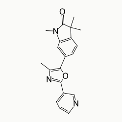 Cc1nc(-c2cccnc2)oc1-c1ccc2c(c1)N(C)C(=O)C2(C)C